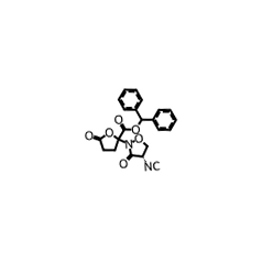 [C-]#[N+][C@H]1CON(C2(C(=O)OC(c3ccccc3)c3ccccc3)CCC(=O)O2)C1=O